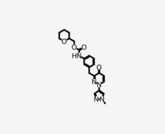 Cn1cc(-n2ccc(=O)c(Cc3cccc(NC(=O)OCC4CCCCO4)c3)n2)cn1